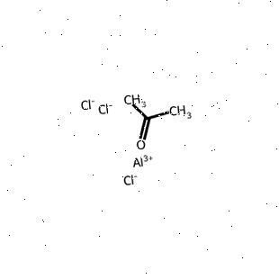 CC(C)=O.[Al+3].[Cl-].[Cl-].[Cl-]